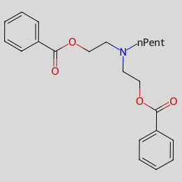 CCCCCN(CCOC(=O)c1ccccc1)CCOC(=O)c1ccccc1